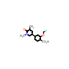 Cc1cc(-c2ccc(C(=O)O)c(OCF)c2)cn(C)c1=O